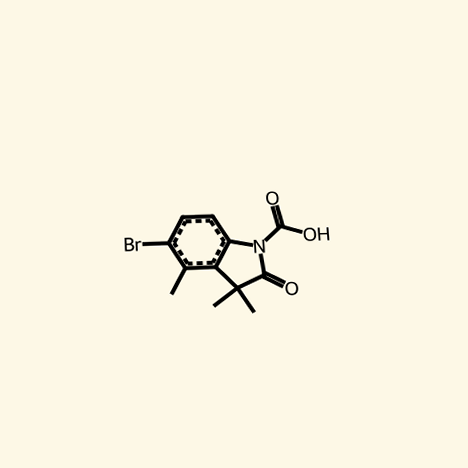 Cc1c(Br)ccc2c1C(C)(C)C(=O)N2C(=O)O